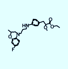 CCOC(=O)C(Cc1ccc(NCCCN2CC(C)Oc3cc(F)ccc32)cc1)OC